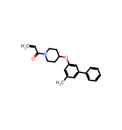 C=CC(=O)N1CCC(Oc2cc(C)cc(-c3ccccc3)c2)CC1